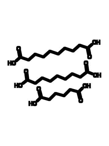 O=C(O)CCCCC(=O)O.O=C(O)CCCCCCCC(=O)O.O=C(O)CCCCCCCCC(=O)O